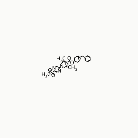 C[C@@H]1CN(c2cnc(S(C)(=O)=O)cn2)C[C@H](C)N1C(=O)OC1CCN(Cc2ccccc2)CC1